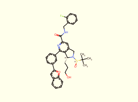 CC(C)(C)[S@@+]([O-])N1Cc2cc(C(=O)NCc3ccccc3F)nc(-c3cccc(-c4cc5ccccc5o4)c3)c2[C@H]1CCCO